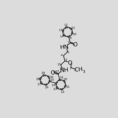 CCOC(CCNC(=O)c1ccccc1)CNC(=O)c1ccccc1-c1ccccc1